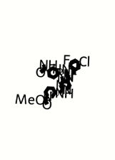 COC(=O)N1CCC[C@@H](Nc2ncc3nc(Nc4c(F)cc(Cl)cc4F)n([C@H]4CC[C@H](C(N)=O)CC4)c3n2)C1